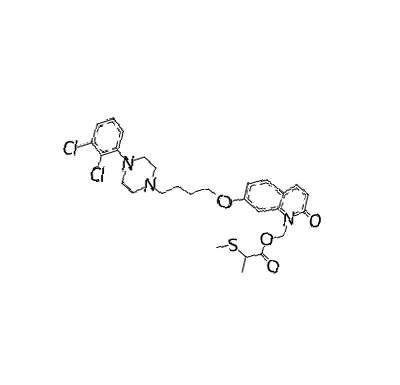 CSC(C)C(=O)OCn1c(=O)ccc2ccc(OCCCCN3CCN(c4cccc(Cl)c4Cl)CC3)cc21